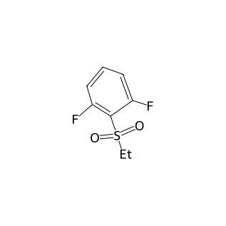 CCS(=O)(=O)c1c(F)cccc1F